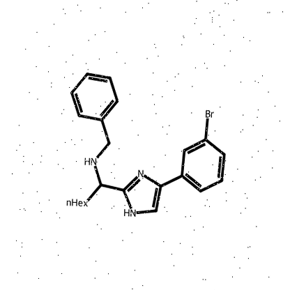 CCCCCCC(NCc1ccccc1)c1nc(-c2cccc(Br)c2)c[nH]1